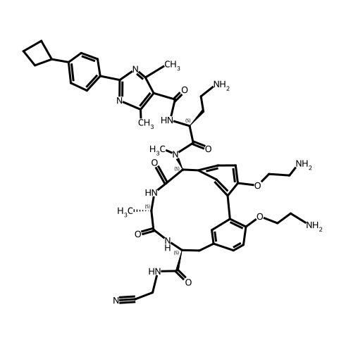 Cc1nc(-c2ccc(C3CCC3)cc2)nc(C)c1C(=O)N[C@@H](CCN)C(=O)N(C)[C@@H]1C(=O)N[C@@H](C)C(=O)N[C@H](C(=O)NCC#N)Cc2ccc(OCCN)c(c2)-c2cc1ccc2OCCN